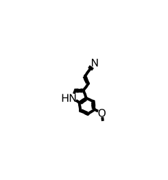 COc1ccc2[nH]cc(C=CC#N)c2c1